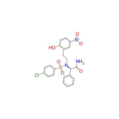 NC(=O)[C@@H](c1ccccc1)N(CCc1cc([N+](=O)[O-])ccc1O)S(=O)(=O)c1ccc(Cl)cc1